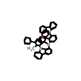 CC1C(c2ccccc2)=CC(c2ccccc2)=CC1n1c2ccccc2c2cccc(-n3c4ccccc4c4c(-n5c6ccccc6c6ccccc65)cccc43)c21